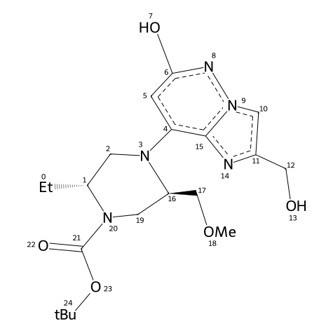 CC[C@@H]1CN(c2cc(O)nn3cc(CO)nc23)[C@@H](COC)CN1C(=O)OC(C)(C)C